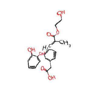 C=C(C)C(=O)OCCO.O=C(O)Cc1ccccc1.Oc1ccccc1O